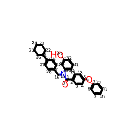 O=C(c1ccc(Oc2ccccc2)cc1)N(Cc1ccc(C2CCCCC2)cc1)c1cccc(O)c1